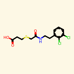 O=C(O)CCSCC(=O)NCCc1cccc(Cl)c1Cl